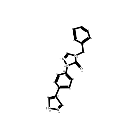 O=c1n(Cc2ccccc2)cnn1-c1ccc(-c2cn[nH]c2)cc1